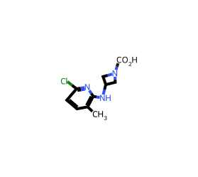 Cc1ccc(Cl)nc1NC1CN(C(=O)O)C1